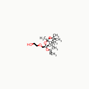 C[SiH](C)O[Si](C)(COCCO)O[Si](C)(C)O[Si](C)(C)C